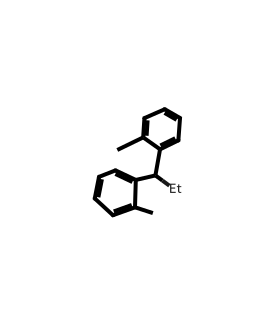 CCC(c1ccccc1C)c1ccccc1C